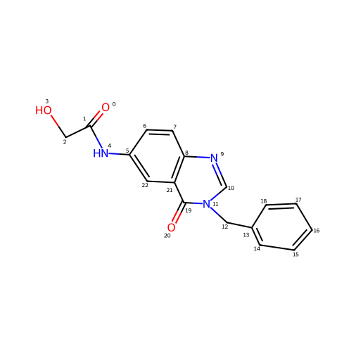 O=C(CO)Nc1ccc2ncn(Cc3ccccc3)c(=O)c2c1